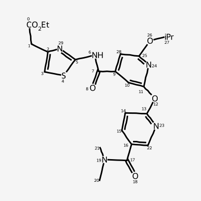 CCOC(=O)Cc1csc(NC(=O)c2cc(Oc3ccc(C(=O)N(C)C)cn3)nc(OC(C)C)c2)n1